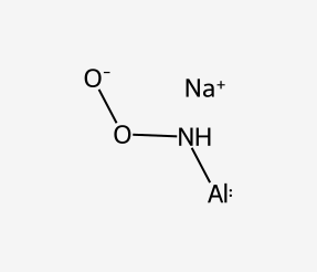 [Na+].[O-]O[NH][Al]